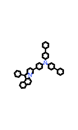 c1ccc(-c2ccc(N(c3ccc(-c4ccccc4)cc3)c3ccc(-c4ccc5c(-c6ccccc6)c6c7ccccc7ccc6n5c4)cc3)cc2)cc1